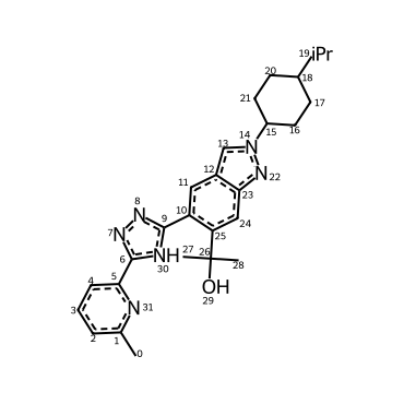 Cc1cccc(-c2nnc(-c3cc4cn(C5CCC(C(C)C)CC5)nc4cc3C(C)(C)O)[nH]2)n1